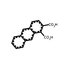 O=C(O)c1ccc2cc3ccccc3cc2c1C(=O)O